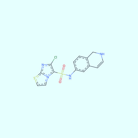 O=S(=O)(Nc1ccc2c(c1)C=CNC2)c1c(Cl)nc2sccn12